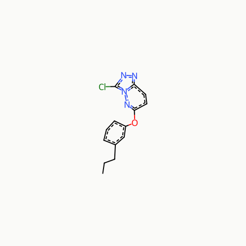 CCCc1cccc(Oc2ccc3nnc(Cl)n3n2)c1